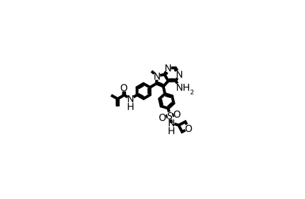 C=C(C)C(=O)Nc1ccc(-c2c(-c3ccc(S(=O)(=O)NC4COC4)cc3)c3c(N)ncnc3n2C)cc1